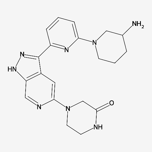 NC1CCCN(c2cccc(-c3n[nH]c4cnc(N5CCNC(=O)C5)cc34)n2)C1